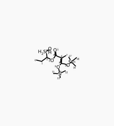 CCC(OC(=O)C(C)=C(O[Si](C)(C)C)O[Si](C)(C)C)[SiH2]O